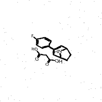 Fc1ccc(C2=CC3CCC(C2)N3)cc1.O=C(O)CC(=O)O